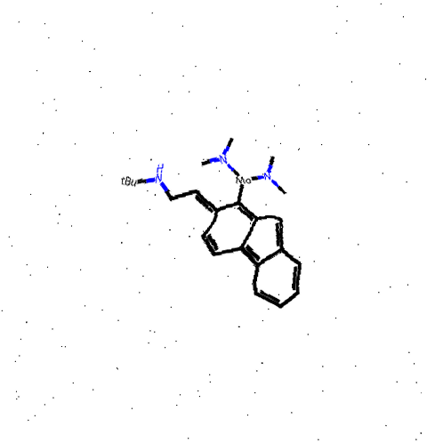 C[N](C)[Mo]([c]1c2c(ccc1=CCNC(C)(C)C)=c1ccccc1=C2)[N](C)C